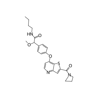 CCCCNC(=O)C(OC)c1ccc(Oc2ccnc3cc(C(=O)N4CCC4)sc23)cc1